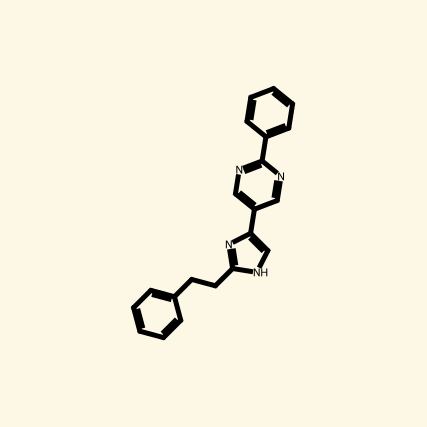 c1ccc(CCc2nc(-c3cnc(-c4ccccc4)nc3)c[nH]2)cc1